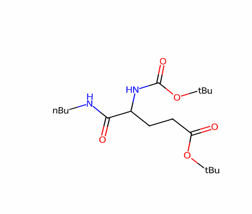 CCCCNC(=O)C(CCC(=O)OC(C)(C)C)NC(=O)OC(C)(C)C